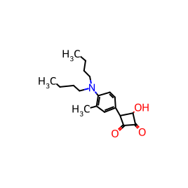 CCCCN(CCCC)c1ccc(C2C(=O)C(=O)C2O)cc1C